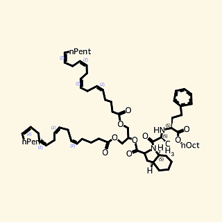 CCCCC/C=C\C/C=C\C/C=C\C/C=C\CCCC(=O)OCC(COC(=O)CCC/C=C\C/C=C\C/C=C\C/C=C\CCCCC)OC(=O)C1C[C@H]2CCCC[C@@H]2N1C(=O)[C@H](C)N[C@@H](CCc1ccccc1)C(=O)OCCCCCCCC